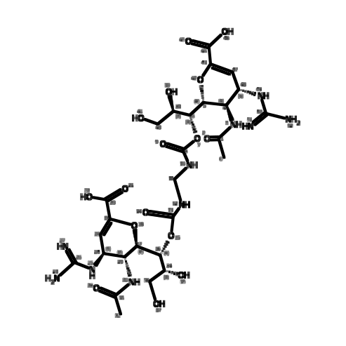 CC(=O)N[C@H]1[C@H]([C@H](OC(=O)NCNC(=O)O[C@@H]([C@@H]2OC(C(=O)O)=C[C@H](NC(=N)N)[C@H]2NC(C)=O)[C@H](O)CO)[C@H](O)CO)OC(C(=O)O)=C[C@@H]1NC(=N)N